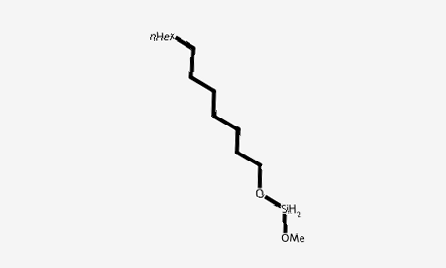 CCCCCCCCCCCCCO[SiH2]OC